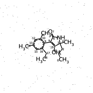 CCCC1(C)NC(=O)C(c2c(C)cc(C)cc2CC)=C1O